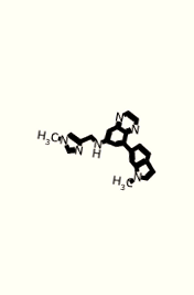 Cn1cnc(CNc2cc(-c3ccc4ccn(C)c4c3)c3nccnc3c2)c1